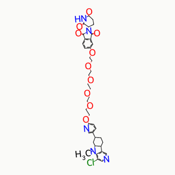 CN1c2c(Cl)cncc2C2CCC(c3ccc(OCCOCCOCCOCCOCCOc4ccc5c(c4)C(=O)N(C4CCC(=O)NC4=O)C5=O)nc3)CC21